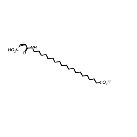 O=C(O)/C=C\C(=O)NCCCCCCCCCCCCCCCCCCCC(=O)O